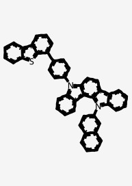 c1ccc2cc(-n3c4ccccc4c4ccc5c(c6ccccc6n5-c5ccc(-c6cccc7c6sc6ccccc67)cc5)c43)ccc2c1